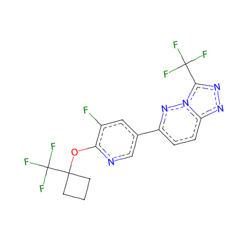 Fc1cc(-c2ccc3nnc(C(F)(F)F)n3n2)cnc1OC1(C(F)(F)F)CCC1